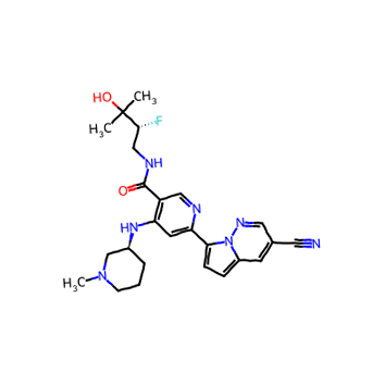 CN1CCC[C@H](Nc2cc(-c3ccc4cc(C#N)cnn34)ncc2C(=O)NC[C@@H](F)C(C)(C)O)C1